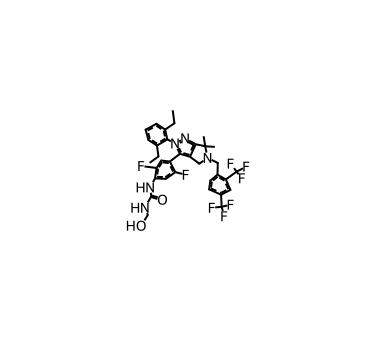 CCc1cccc(CC)c1-n1nc2c(c1-c1cc(F)c(NC(=O)NCO)cc1F)CN(Cc1ccc(C(F)(F)F)cc1C(F)(F)F)C2(C)C